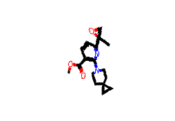 COC(=O)c1ccc(C2(C)CO2)nc1N1CCC2(CC1)CC2